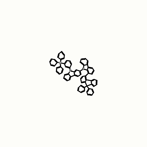 c1ccc(C2(c3ccccc3)c3ccccc3-c3c(-c4cccc5c6ccccc6n(-c6ccc7c8ccccc8n(-c8cccc([Si](c9ccccc9)(c9ccccc9)c9ccccc9)c8)c7c6)c45)cccc32)cc1